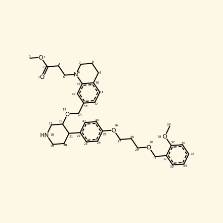 COC(=O)CCN1CCCc2ccc(COC3CNCCC3c3ccc(OCCCOCc4ccccc4OC)cc3)cc21